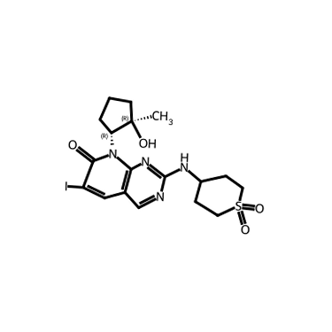 C[C@@]1(O)CCC[C@H]1n1c(=O)c(I)cc2cnc(NC3CCS(=O)(=O)CC3)nc21